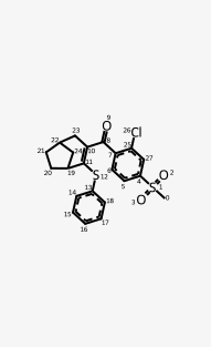 CS(=O)(=O)c1ccc(C(=O)C2=C(Sc3ccccc3)C3CCC(C2)C3)c(Cl)c1